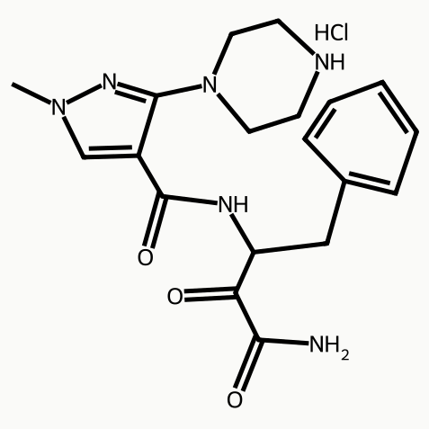 Cl.Cn1cc(C(=O)NC(Cc2ccccc2)C(=O)C(N)=O)c(N2CCNCC2)n1